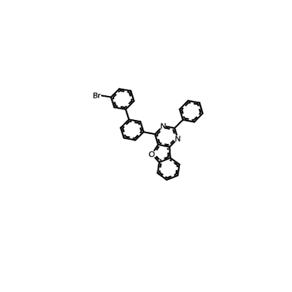 Brc1cccc(-c2cccc(-c3nc(-c4ccccc4)nc4c3oc3ccccc34)c2)c1